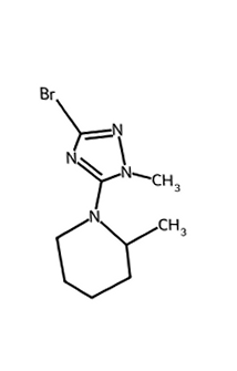 CC1CCCCN1c1nc(Br)nn1C